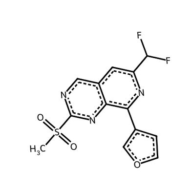 CS(=O)(=O)c1ncc2cc(C(F)F)nc(-c3ccoc3)c2n1